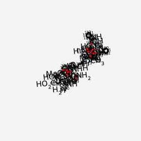 CCCC[C@@H](C(=O)N(C)[C@@H](CCCC)C(=O)N[C@@H](CC(C)C)C(=O)NCCCCC(=O)N[C@@H](Cc1ccc(OC)cc1)C(=O)N1CCCC[C@H]1C(=O)N[C@@H](CC(N)=O)C(=O)N1CCC[C@H]1C(=O)N[C@@H](CN)C(=O)N[C@@H](CCC(=O)O)C(=O)N1C[C@H](O)C[C@H]1C)N(C)C(=O)[C@H](Cc1cn(CC(=O)O)c2ccccc12)NC(=O)[C@H](CCN)NC(=O)[C@H](Cc1c[nH]c2ccccc12)NO